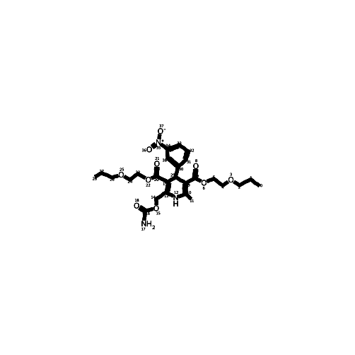 CCCOCCOC(=O)C1=C(C)NC(COC(N)=O)=C(C(=O)OCCOCCC)C1c1cccc([N+](=O)[O-])c1